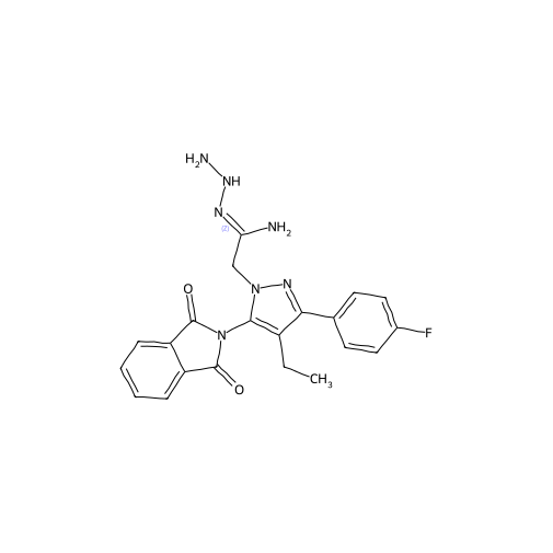 CCc1c(-c2ccc(F)cc2)nn(C/C(N)=N/NN)c1N1C(=O)c2ccccc2C1=O